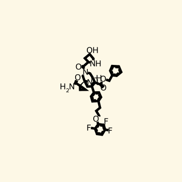 NC(=O)C1([C@@]23CC(c4ccc(CCCOc5c(F)ccc(F)c5F)cc4)=C(C(=O)OCc4ccccc4)[C@H](CN(C(=O)C4C[C@@H](O)CN4)C2)N3)CC1